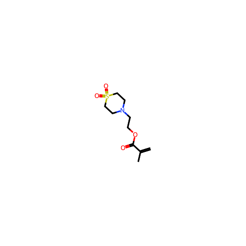 C=C(C)C(=O)OCCN1CCS(=O)(=O)CC1